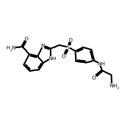 NCC(=O)Nc1ccc(S(=O)(=O)Cc2nc3c(C(N)=O)cccc3[nH]2)cc1